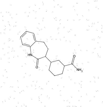 NC(=O)C1CCCC(C2CCc3ccccc3NC2=O)C1